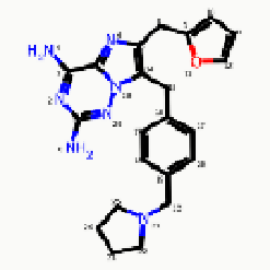 Nc1nc(N)c2nc(Cc3ccco3)c(Cc3ccc(CN4CCCC4)cc3)n2n1